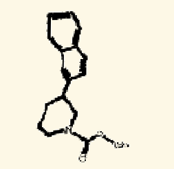 CC(C)(C)OC(=O)N1CCCC(c2ccc3ccccc3c2)C1